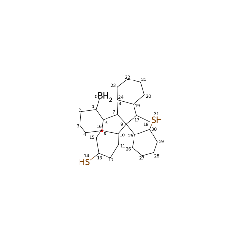 BC1CCCCC1C(C)C(C1CCC(S)CC1)(C(C)C1CCCCC1)C1CCCCC1S